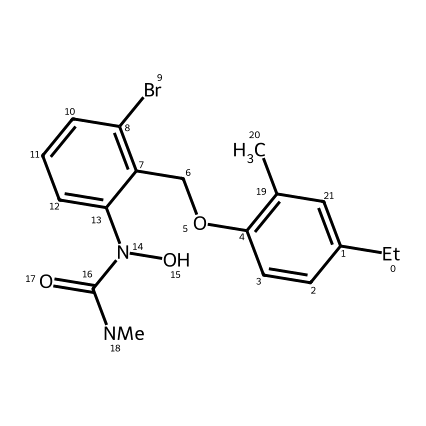 CCc1ccc(OCc2c(Br)cccc2N(O)C(=O)NC)c(C)c1